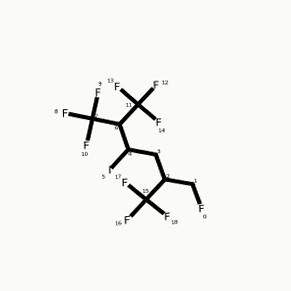 FCC(CC(I)C(C(F)(F)F)C(F)(F)F)C(F)(F)F